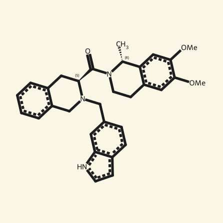 COc1cc2c(cc1OC)[C@@H](C)N(C(=O)[C@@H]1Cc3ccccc3CN1Cc1ccc3cc[nH]c3c1)CC2